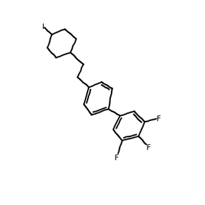 Fc1cc(-c2ccc(CCC3CCC(I)CC3)cc2)cc(F)c1F